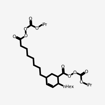 CCCCCCC1C=CC(CCCCCCCC(=O)OOC(=O)OC(C)C)CC1C(=O)OOC(=O)OC(C)C